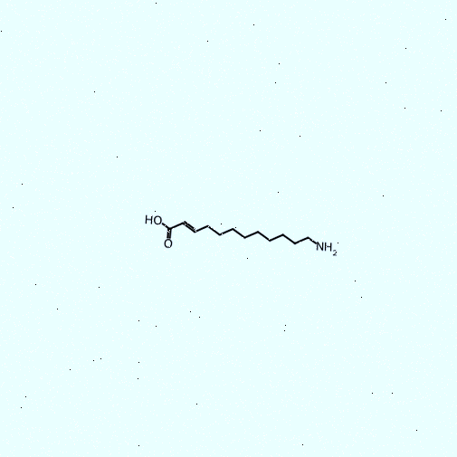 NCCCCCCCCCC=CC(=O)O